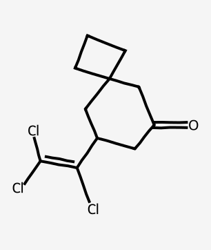 O=C1CC(C(Cl)=C(Cl)Cl)CC2(CCC2)C1